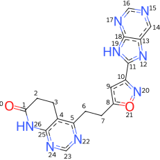 O=C1CCc2c(CCc3cc(-c4nc5cncnc5[nH]4)no3)ncnc2N1